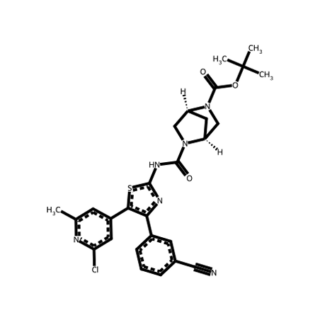 Cc1cc(-c2sc(NC(=O)N3C[C@@H]4C[C@H]3CN4C(=O)OC(C)(C)C)nc2-c2cccc(C#N)c2)cc(Cl)n1